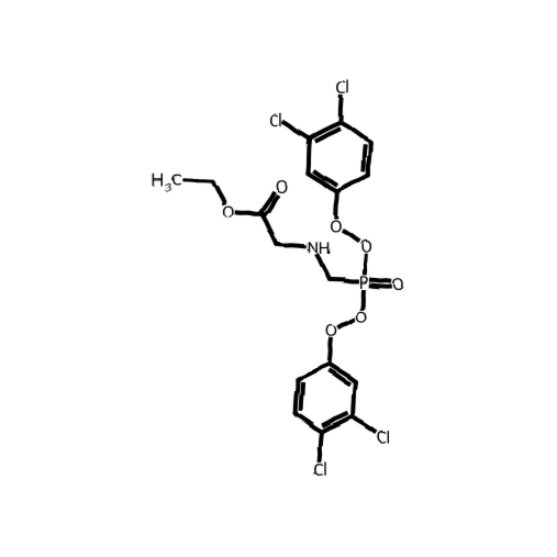 CCOC(=O)CNCP(=O)(OOc1ccc(Cl)c(Cl)c1)OOc1ccc(Cl)c(Cl)c1